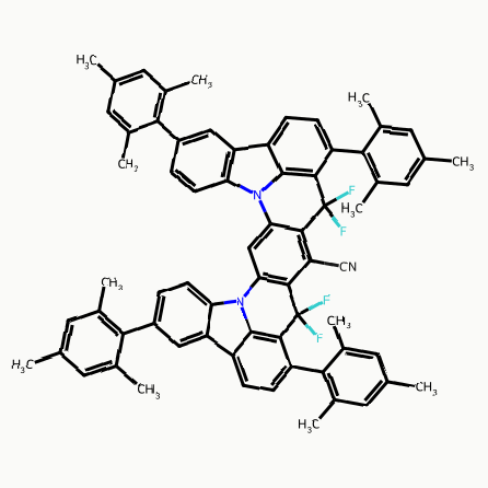 Cc1cc(C)c(-c2ccc3c(c2)c2ccc(-c4c(C)cc(C)cc4C)c4c2n3-c2cc3c(c(C#N)c2C4(F)F)C(F)(F)c2c(-c4c(C)cc(C)cc4C)ccc4c5cc(-c6c(C)cc(C)cc6C)ccc5n-3c24)c(C)c1